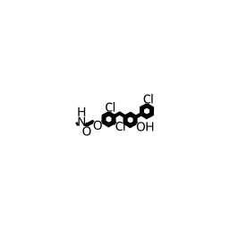 CNC(=O)COc1cc(Cl)c(Cc2ccc(O)c(-c3cccc(Cl)c3)c2)c(Cl)c1